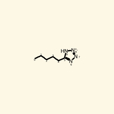 CCCCCC1=NN=[N+]N1